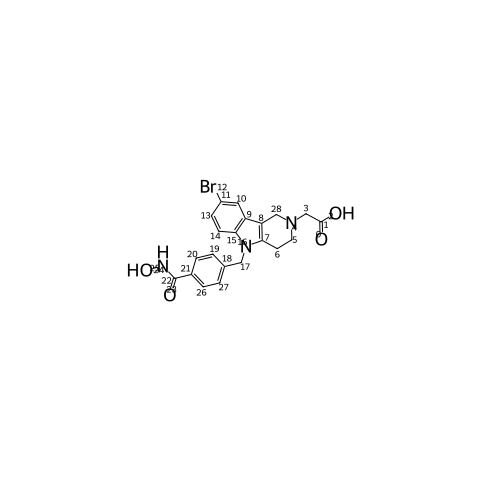 O=C(O)CN1CCc2c(c3cc(Br)ccc3n2Cc2ccc(C(=O)NO)cc2)C1